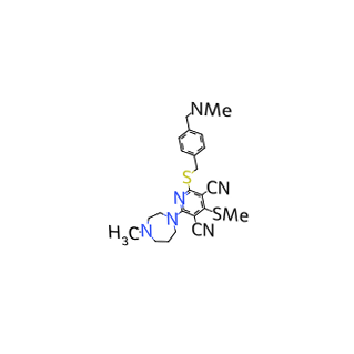 CNCc1ccc(CSc2nc(N3CCCN(C)CC3)c(C#N)c(SC)c2C#N)cc1